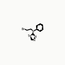 BrCCN(c1ccccc1)c1nnc[se]1